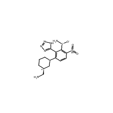 NC[C@H]1CCCN(c2ccc([SH](=O)=O)c([S+](N)[O-])c2-c2nnn[nH]2)C1